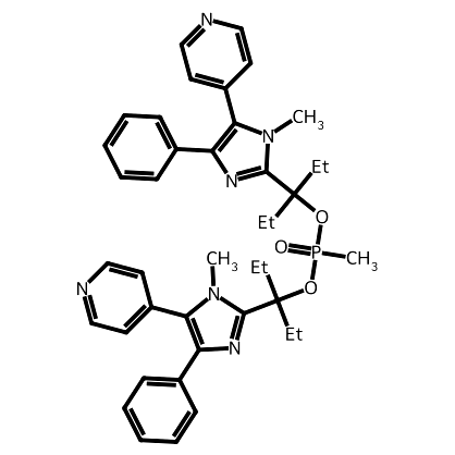 CCC(CC)(OP(C)(=O)OC(CC)(CC)c1nc(-c2ccccc2)c(-c2ccncc2)n1C)c1nc(-c2ccccc2)c(-c2ccncc2)n1C